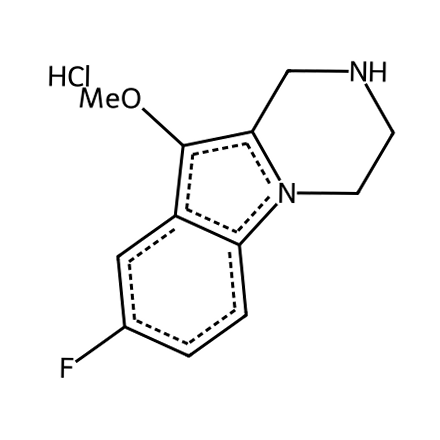 COc1c2n(c3ccc(F)cc13)CCNC2.Cl